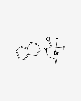 C=CCN(C(=O)C(F)(F)Br)c1ccc2ccccc2c1